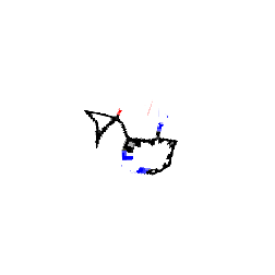 Nc1cccnc1C1(O)CC1